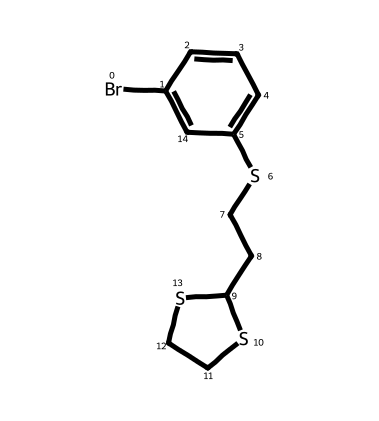 Brc1cccc(SCCC2SCCS2)c1